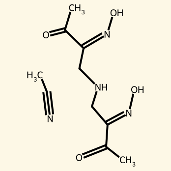 CC#N.CC(=O)C(CNCC(=NO)C(C)=O)=NO